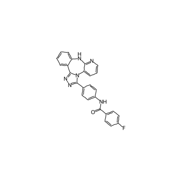 O=C(Nc1ccc(-c2nnc3n2-c2cccnc2Nc2ccccc2-3)cc1)c1ccc(F)cc1